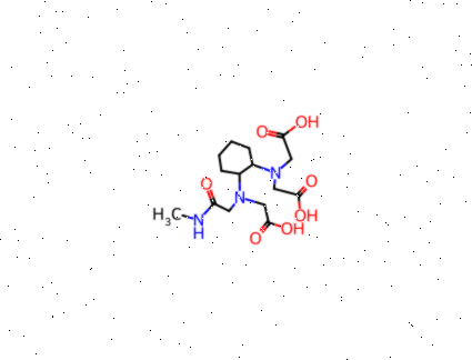 CNC(=O)CN(CC(=O)O)C1CCCCC1N(CC(=O)O)CC(=O)O